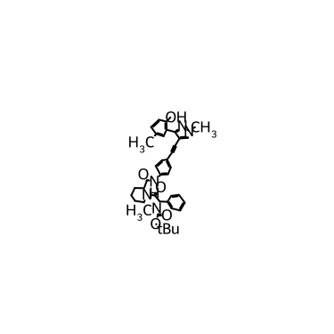 Cc1ccc(O)c(-c2nn(C)cc2C#Cc2ccc(NC(=O)C3CCCCN3C(=O)C(c3ccccc3)N(C)C(=O)OC(C)(C)C)cc2)c1